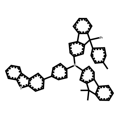 Cc1ccc(C2(C(C)C)c3ccccc3-c3ccc(N(c4ccc(-c5ccc6sc7ccccc7c6c5)cc4)c4ccc5c(c4)C(C)(C)c4ccccc4-5)cc32)cc1